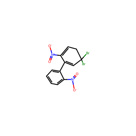 O=[N+]([O-])C1=CCC(Br)(Br)C=C1c1ccccc1[N+](=O)[O-]